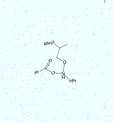 CCC[SiH](OCC(C)OC)OC(=O)C(C)C